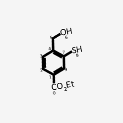 CCOC(=O)c1ccc(CO)c(S)c1